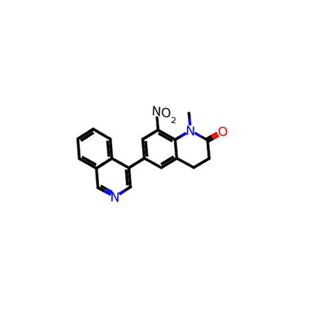 CN1C(=O)CCc2cc(-c3cncc4ccccc34)cc([N+](=O)[O-])c21